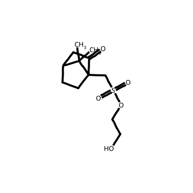 CC1(C)C2CCC1(CS(=O)(=O)OCCO)C(=O)C2